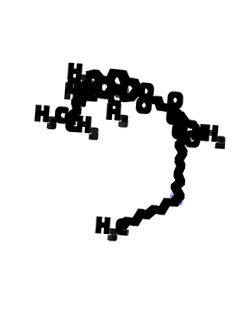 CCCCCCCC/C=C\CCCCCCCC(=O)OC(CN)COC(=O)CCC(=O)O[C@H]1CC[C@@]2(C)C(=CCC3C2CC[C@@]2(C)C3CC[C@@H]2[C@H](C)CCCC(C)C)C1